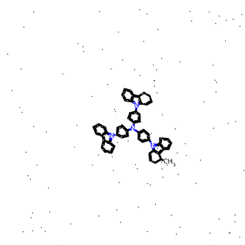 CC1CC=Cc2c1c1ccccc1n2-c1ccc(N(c2ccc(-n3c4c(c5ccccc53)CCC=C4)cc2)c2ccc(-n3c4ccccc4c4ccccc43)cc2)cc1